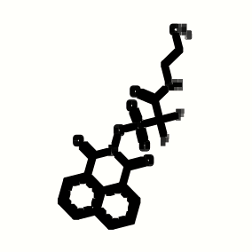 CCCNC(=O)C(F)(F)S(=O)(=O)ON1C(=O)c2cccc3cccc(c23)C1=O